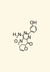 Nc1nc(-c2cccc(O)c2)nc(C(=O)C2CCC=CO2)c1[N+](=O)[O-]